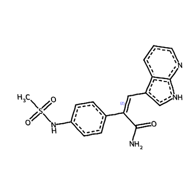 CS(=O)(=O)Nc1ccc(/C(=C/c2c[nH]c3ncccc23)C(N)=O)cc1